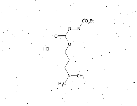 CCOC(=O)N=NC(=O)OCCCN(C)C.Cl